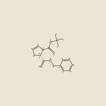 CC(C)(C)OC(=O)N1C=CC[C@H]1C(=O)OCc1ccccc1